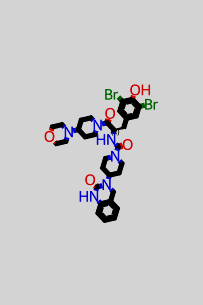 O=C(N[C@H](Cc1cc(Br)c(O)c(Br)c1)C(=O)N1CCC(N2CCOCC2)CC1)N1CCC(N2Cc3ccccc3NC2=O)CC1